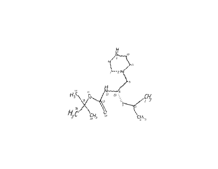 CC(C)C[C@@H](CN1CCNCC1)NC(=O)OC(C)(C)C